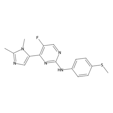 CSc1ccc(Nc2ncc(F)c(-c3cnc(C)n3C)n2)cc1